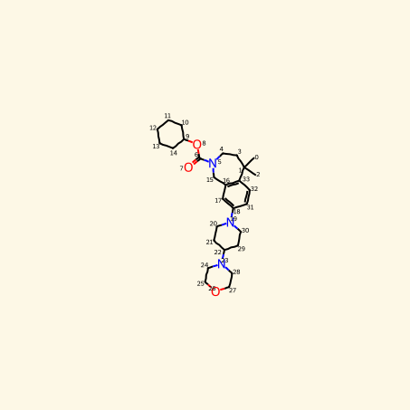 CC1(C)CCN(C(=O)OC2CCCCC2)Cc2cc(N3CCC(N4CCOCC4)CC3)ccc21